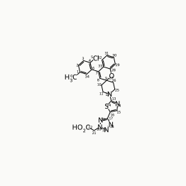 Cc1ccc(Cl)c(C2=CC3(CCN(c4ncc(-c5nnn(CC(=O)O)n5)s4)CC3)Oc3ccccc32)c1